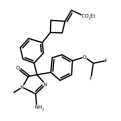 CCOC(=O)C=C1CC(c2cccc(C3(c4ccc(OC(F)F)cc4)N=C(N)N(C)C3=O)c2)C1